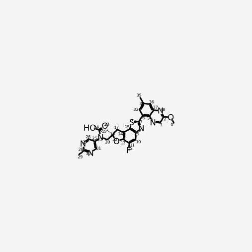 COc1cnc2c(-c3nc4cc(F)c5c(c4s3)C[C@](C)(CN(C(=O)O)c3cnc(C)nc3)O5)cc(C)cc2n1